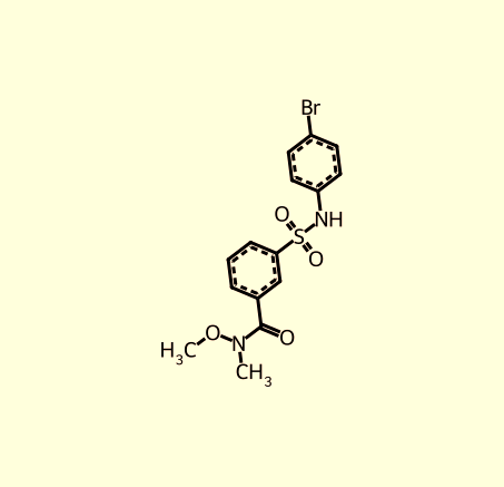 CON(C)C(=O)c1cccc(S(=O)(=O)Nc2ccc(Br)cc2)c1